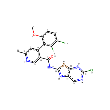 COc1ccc(Cl)c(F)c1-c1cc(C)ncc1C(=O)Nc1nc2cnc(Cl)nc2s1